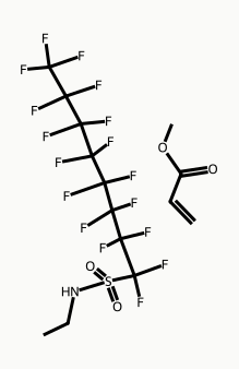 C=CC(=O)OC.CCNS(=O)(=O)C(F)(F)C(F)(F)C(F)(F)C(F)(F)C(F)(F)C(F)(F)C(F)(F)C(F)(F)F